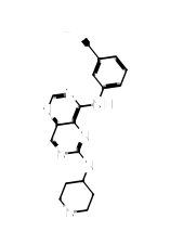 C#Cc1cccc(Nc2ncnc3cnc(NC4CCNCC4)nc23)c1